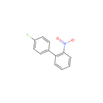 O=[N+]([O-])c1[c]cccc1-c1ccc(F)cc1